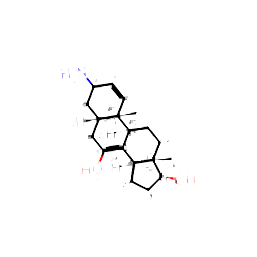 C[C@]12C=CC(N)C[C@H]1CC(O)=C1[C@@H]2CC[C@]2(C)[C@@H](O)CC[C@@H]12